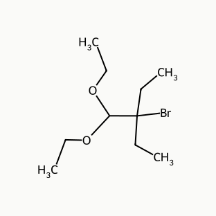 CCOC(OCC)C(Br)(CC)CC